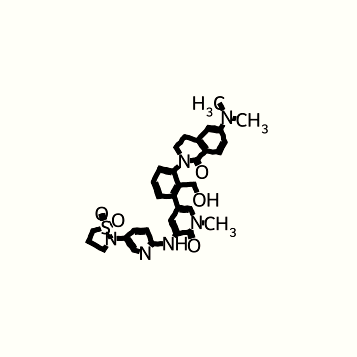 CN(C)c1ccc2c(c1)CCN(c1cccc(-c3cc(Nc4ccc(N5CCCS5(=O)=O)cn4)c(=O)n(C)c3)c1CO)C2=O